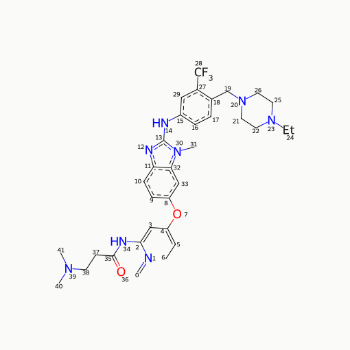 C=N/C(=C\C(=C/C)Oc1ccc2nc(Nc3ccc(CN4CCN(CC)CC4)c(C(F)(F)F)c3)n(C)c2c1)NC(=O)CCN(C)C